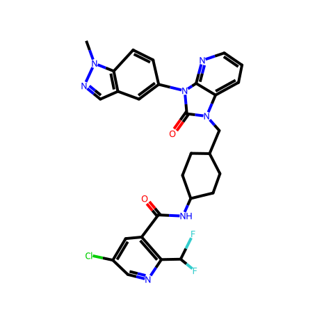 Cn1ncc2cc(-n3c(=O)n(CC4CCC(NC(=O)c5cc(Cl)cnc5C(F)F)CC4)c4cccnc43)ccc21